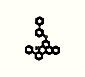 c1ccc(-c2cccc(Oc3cc(Nc4c(-c5ccccc5)cccc4-c4ccccc4)cc(-c4ccccc4)c3)c2)cc1